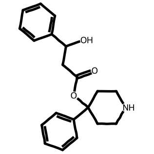 O=C(CC(O)c1ccccc1)OC1(c2ccccc2)CCNCC1